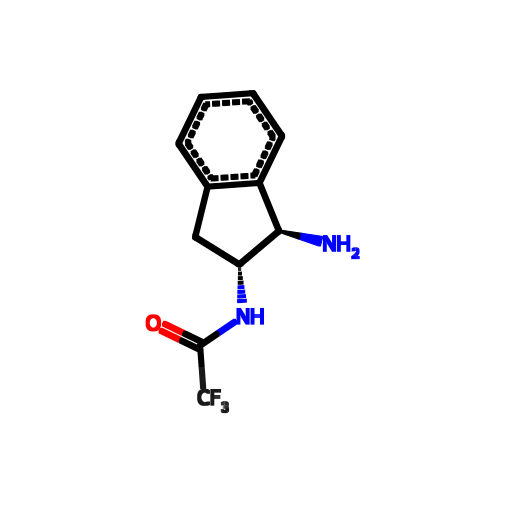 N[C@@H]1c2ccccc2C[C@H]1NC(=O)C(F)(F)F